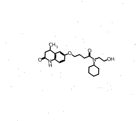 CC1CC(=O)Nc2ccc(OCCCC(=O)N(CCO)C3CCCCC3)cc21